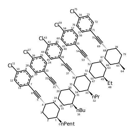 CCCCC[C@H]1CC[C@H](C#Cc2ccc(Cl)cc2)CC1.CCCC[C@H]1CC[C@H](C#Cc2ccc(Cl)cc2)CC1.CCC[C@H]1CC[C@H](C#Cc2ccc(Cl)cc2)CC1.CC[C@H]1CC[C@H](C#Cc2ccc(Cl)cc2)CC1.C[C@H]1CC[C@H](C#Cc2ccc(Cl)cc2)CC1